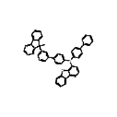 CC1(c2cccc(-c3ccc(N(c4ccc(-c5ccccc5)cc4)c4cccc5c4oc4ccccc45)cc3)c2)c2ccccc2-c2ccccc21